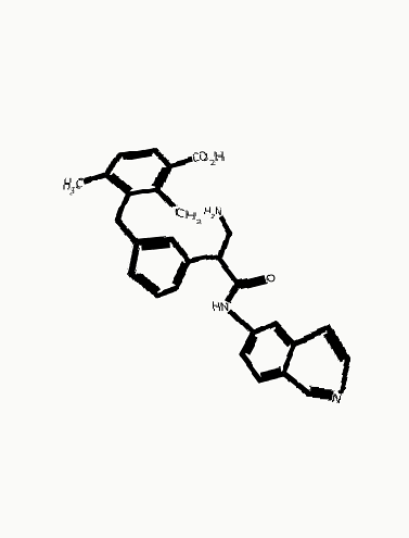 Cc1ccc(C(=O)O)c(C)c1Cc1cccc(C(CN)C(=O)Nc2ccc3cnccc3c2)c1